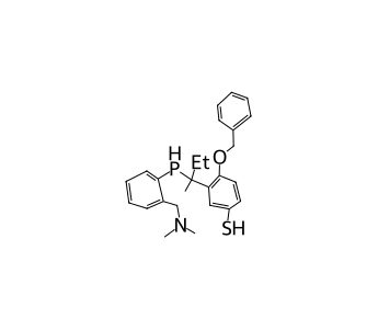 CCC(C)(Pc1ccccc1CN(C)C)c1cc(S)ccc1OCc1ccccc1